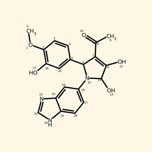 COc1ccc(C2C(C(C)=O)=C(O)C(O)N2c2ccc3[nH]cnc3c2)cc1O